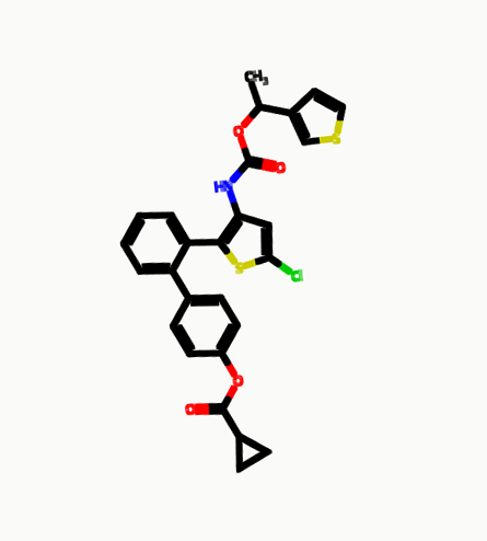 CC(OC(=O)Nc1cc(Cl)sc1-c1ccccc1-c1ccc(OC(=O)C2CC2)cc1)c1ccsc1